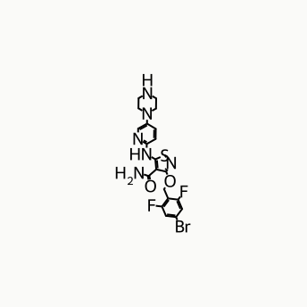 NC(=O)c1c(OCc2c(F)cc(Br)cc2F)nsc1Nc1ccc(N2CCNCC2)cn1